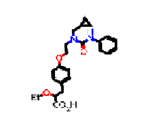 CCOC(Cc1ccc(OCCN(CC2CC2)C(=O)Nc2ccccc2)cc1)C(=O)O